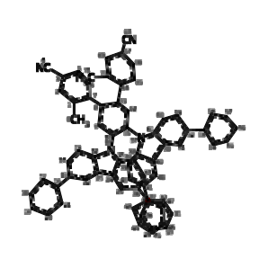 Cc1cc(C#N)ccc1-c1cc(-n2c3ccc(-c4ccccc4)cc3c3cc(-c4ccccc4)ccc32)c(-n2c3ccc(-c4ccccc4)cc3c3cc(-c4ccccc4)ccc32)cc1-c1ccc(C#N)cc1C